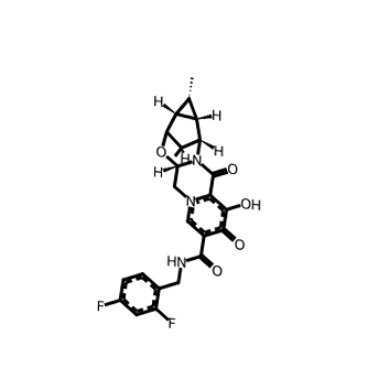 C[C@H]1[C@H]2C3O[C@H]4Cn5cc(C(=O)NCc6ccc(F)cc6F)c(=O)c(O)c5C(=O)N4[C@@H]([C@@H]12)[C@H]3C